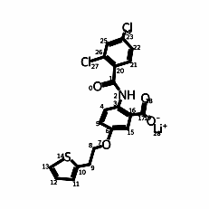 O=C(Nc1ccc(OCCc2cccs2)cc1C(=O)[O-])c1ccc(Cl)cc1Cl.[Li+]